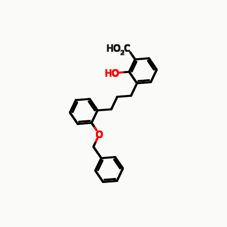 O=C(O)c1cccc(CCCc2ccccc2OCc2ccccc2)c1O